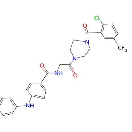 O=C(NCC(=O)N1CCN(C(=O)c2cc(C(F)(F)F)ccc2Cl)CC1)c1ccc(Nc2ccccc2)cc1